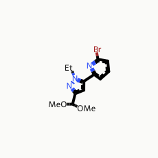 CCn1nc(C(OC)OC)cc1-c1cccc(Br)n1